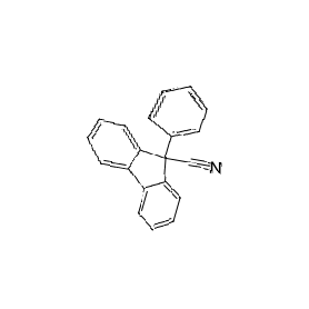 N#CC1(c2ccccc2)c2ccccc2-c2ccccc21